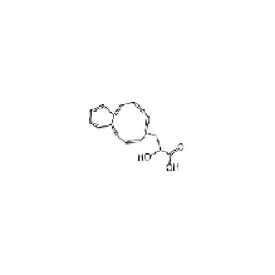 O=C(O)C(O)Cc1ccccc2ccccc2ccc1